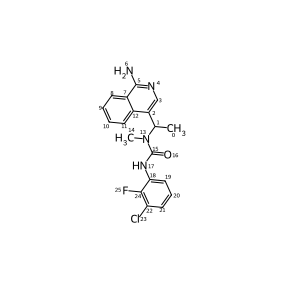 CC(c1cnc(N)c2ccccc12)N(C)C(=O)Nc1cccc(Cl)c1F